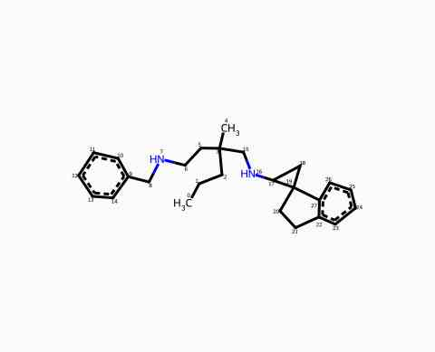 CCCC(C)(CCNCc1ccccc1)CNC1CC12CCc1ccccc12